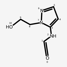 O=CNc1ccnn1CCO